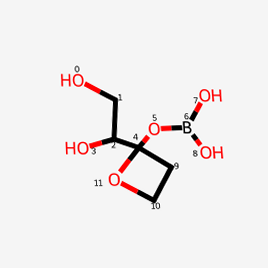 OCC(O)C1(OB(O)O)CCO1